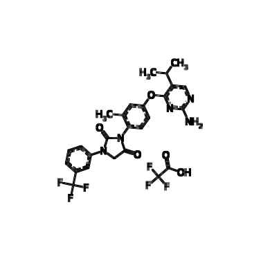 Cc1cc(Oc2nc(N)ncc2C(C)C)ccc1N1C(=O)CN(c2cccc(C(F)(F)F)c2)C1=O.O=C(O)C(F)(F)F